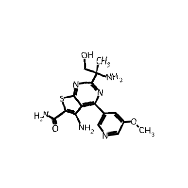 COc1cncc(-c2nc([C@@](C)(N)CO)nc3sc(C(N)=O)c(N)c23)c1